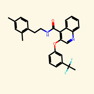 Cc1ccc(CCNC(=O)c2c(Oc3cccc(C(C)(F)F)c3)cnc3ccccc23)c(C)c1